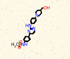 CS(=O)(=O)Nc1ccc(-c2ccnc(Nc3ccc(N4CCC(CO)CC4)cc3)n2)cc1